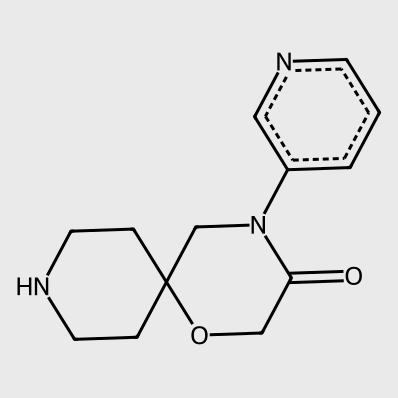 O=C1COC2(CCNCC2)CN1c1cccnc1